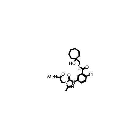 CNC(=O)Cn1c(C)nn(-c2ccc(Cl)c(C(=O)NCC3(O)CCCCCC3)c2)c1=O